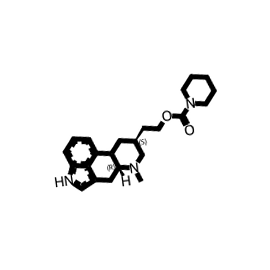 CN1C[C@H](CCOC(=O)N2CCCCC2)CC2c3cccc4[nH]cc(c34)C[C@H]21